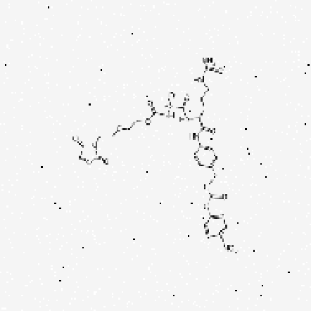 CC(C)[C@H](NC(=O)OCCOCCN1C(=O)C=CC1=O)C(=O)NC(CCCNC(N)=O)C(=O)Nc1ccc(COC(=O)Oc2ccc([N+](=O)[O-])cc2)cc1